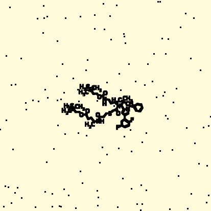 CC(CCC(=O)OCC[Si](C)(C)C)NC(=O)CCSCC(=O)N(CCCNC(=O)OCC[Si](C)(C)C)[C@@H](c1cc(-c2cc(F)ccc2F)cn1Cc1ccccc1)C(C)(C)C